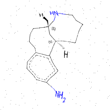 Nc1ccc2c(c1)[C@@H]1CCCN[C@H]1CC2